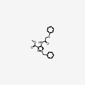 COC(=O)c1nn(Cc2ccccc2)cc1NC(=O)CSc1ccccc1